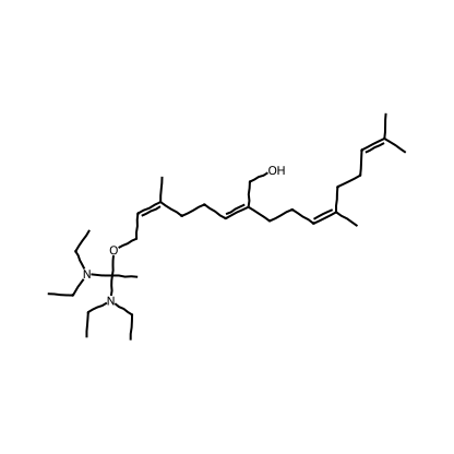 CCN(CC)C(C)(OCC=C(C)CCC=C(CO)CCC=C(C)CCC=C(C)C)N(CC)CC